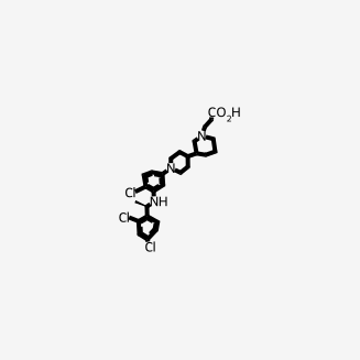 C[C@@H](Nc1cc(N2CCC(C3CCCN(CCC(=O)O)C3)CC2)ccc1Cl)c1ccc(Cl)cc1Cl